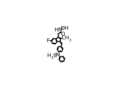 CC1=C(CC(=O)NO)c2cc(F)ccc2/C1=C\c1ccc(N(C)c2ccccc2)cc1